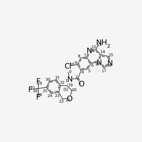 CN(C(=O)c1cc2c(cc1Cl)nc(N)c1cncn12)[C@@H]1COCc2cc(C(F)(F)F)ccc21